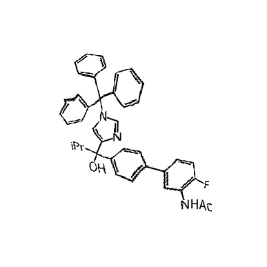 CC(=O)Nc1cc(-c2ccc(C(O)(c3cn(C(c4ccccc4)(c4ccccc4)c4ccccc4)cn3)C(C)C)cc2)ccc1F